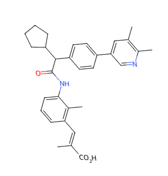 C/C(=C\c1cccc(NC(=O)C(c2ccc(-c3cnc(C)c(C)c3)cc2)C2CCCC2)c1C)C(=O)O